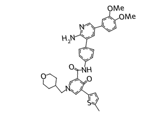 COc1ccc(-c2cnc(N)c(-c3ccc(NC(=O)c4cn(CC5CCOCC5)cc(-c5ccc(C)s5)c4=O)cc3)c2)cc1OC